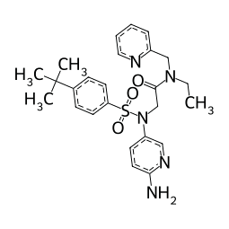 CCN(Cc1ccccn1)C(=O)CN(c1ccc(N)nc1)S(=O)(=O)c1ccc(C(C)(C)C)cc1